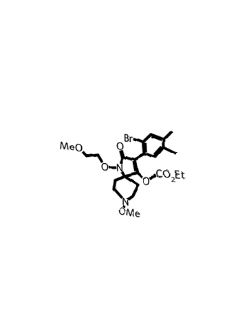 CCOC(=O)OC1=C(c2cc(C)c(C)cc2Br)C(=O)N(OCCOC)C12CCN(OC)CC2